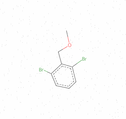 COCc1c(Br)cccc1Br